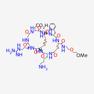 COCCOCCNC(=O)C1NC(=O)[C@H](Cc2ccccc2)NC(=O)[C@@H]2CSSC[C@H](NC(=O)[C@H](CCCCN)NC(=O)CS1)C(=O)N[C@@H](CCCNC(=N)N)C(=O)NCC(=O)N[C@@H](CC(=O)O)C(=O)N2